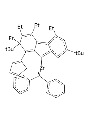 CCC1=C(CC)C(CC)(C(C)(C)C)C(C2=CC=CC2)=C2[C]([Zr]=[C](c3ccccc3)c3ccccc3)=c3cc(C(C)(C)C)cc(CC)c3=C12